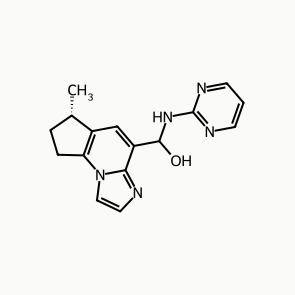 C[C@H]1CCc2c1cc(C(O)Nc1ncccn1)c1nccn21